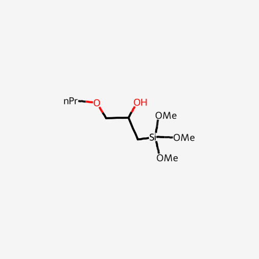 CCCOCC(O)C[Si](OC)(OC)OC